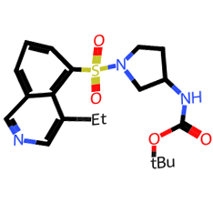 CCc1cncc2cccc(S(=O)(=O)N3CCC(NC(=O)OC(C)(C)C)C3)c12